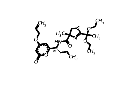 C=CCOc1cc([C@@H](CCC)NC(=O)C2(C)CSC(C(C)(OCC)OCC)=N2)oc(=O)c1